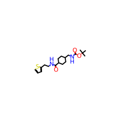 CC(C)(C)OC(=O)NCC1CCC(C(=O)NCCc2cccs2)CC1